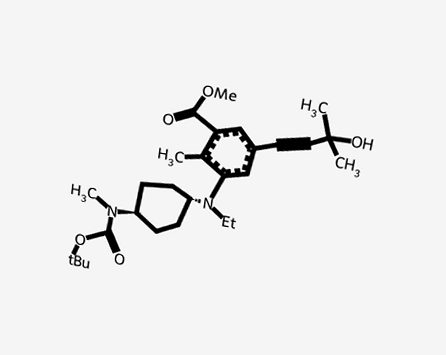 CCN(c1cc(C#CC(C)(C)O)cc(C(=O)OC)c1C)[C@H]1CC[C@H](N(C)C(=O)OC(C)(C)C)CC1